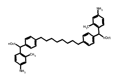 CCCCCCCCC(c1ccc(CCCCCCCCc2ccc(C(CCCCCCCC)c3ccc(N)cc3C)cc2)cc1)c1ccc(N)cc1C